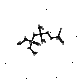 CCCOP(=O)(OCCC)OC(C)(C)CCC(=O)I